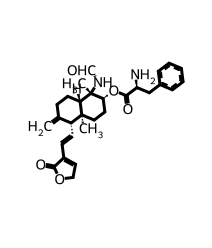 C=C1CC[C@H]2[C@@](C)(CC[C@@H](OC(=O)[C@@H](N)Cc3ccccc3)[C@@]2(C)NC=O)[C@@H]1/C=C/C1=CCOC1=O